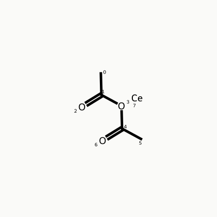 CC(=O)OC(C)=O.[Ce]